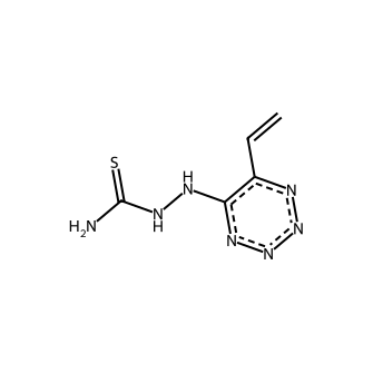 C=Cc1nnnnc1NNC(N)=S